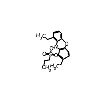 CCCS(=O)(=O)ON1c2cc(CC)ccc2Oc2cccc(CC)c21